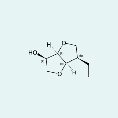 CC[C@@H]1CO[C@H]2[C@@H]1OC[C@H]2O